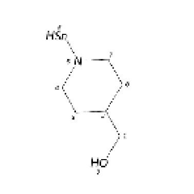 OCC1CC[N]([SnH])CC1